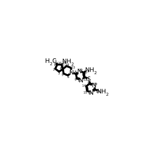 C=C1CCC2(CCN(c3cnc(Sc4ccnc(N)n4)c(N)n3)CC2)[C@@H]1N